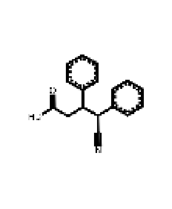 N#CC(c1ccccc1)C(CC(=O)O)c1ccccc1